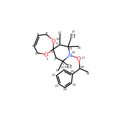 CCC1(C)CC2(OCC=CCO2)C(C)C(C)(CC)N1OC(C)c1ccccc1